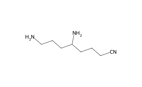 N#CCCCC(N)CCCN